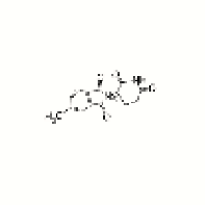 Cc1ccc2c(c1)C(=O)N([C@@H]1CCC(=O)NC1=O)C2=O